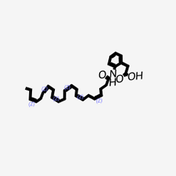 CC/C=C\C/C=C\C/C=C\C/C=C\C/C=C\C/C=C\CCC(=O)Nc1ccccc1CC(=O)O